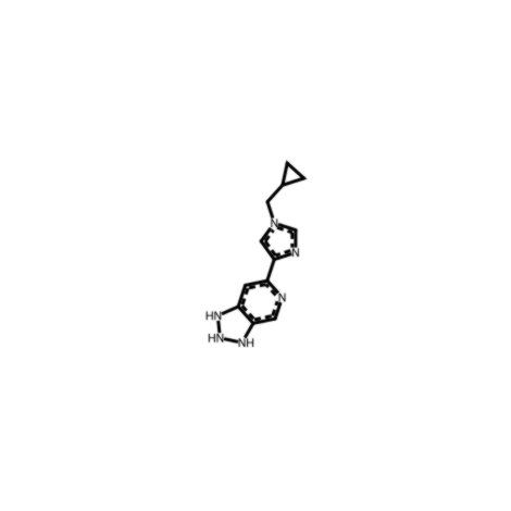 c1nc(-c2cn(CC3CC3)cn2)cc2c1NNN2